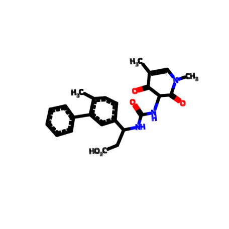 CC1=CN(C)C(=O)C(NC(=O)NC(CC(=O)O)c2ccc(C)c(-c3ccccc3)c2)C1=O